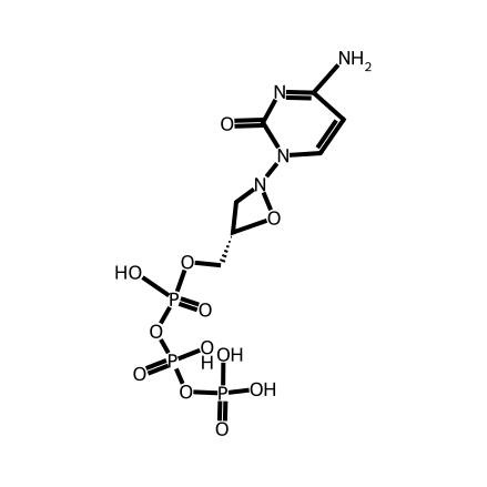 Nc1ccn(N2C[C@@H](COP(=O)(O)OP(=O)(O)OP(=O)(O)O)O2)c(=O)n1